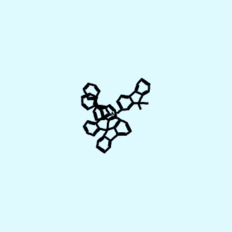 CC1(C)c2ccccc2-c2ccc(N(c3cccc(-c4ccccc4)c3)c3cccc4c3C3(c5ccccc5-4)c4ccccc4-c4c(-c5ccccc5)cccc43)cc21